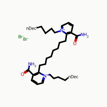 CCCCCCCCCCCCCC[n+]1cccc(C(N)=O)c1CCCCCCCCc1c(C(N)=O)ccc[n+]1CCCCCCCCCCCCCC.[Br-].[Br-]